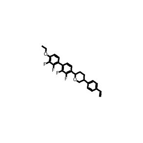 C=Cc1ccc(C2CCC(c3ccc(-c4ccc(OCC)c(F)c4F)c(F)c3F)OC2)cc1